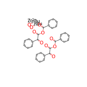 CCCC[O-].CCCC[O-].O=C(OC(=O)c1ccccc1)C(=O)c1ccccc1.O=C(OC(=O)c1ccccc1)C(=O)c1ccccc1.[Zr+2]